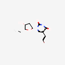 N#CC[C@H]1O[C@@H](n2cc(C=CBr)c(=O)[nH]c2=O)C[C@@H]1O